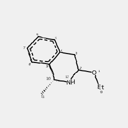 CCOC1Cc2ccccc2[C@@H](C)N1